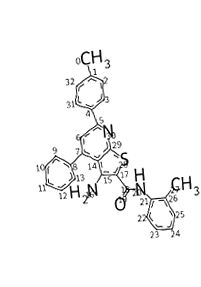 Cc1ccc(-c2cc(-c3ccccc3)c3c(N)c(C(=O)Nc4ccccc4C)sc3n2)cc1